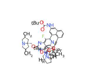 C=C1CN2CC(=C)CC2(COc2nc3c4c(nc(-c5cc(NC(=O)OC(C)(C)C)cc6cccc(C#C[Si](C(C)C)(C(C)C)C(C)C)c56)c(F)c4n2)O[C@@H](C)[C@@H]2[C@@H]4CC[C@H](CN32)N4C(=O)OC(C)(C)C)C1